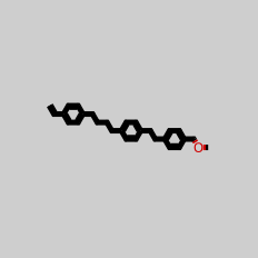 C=Cc1ccc(CCCCc2ccc(CCc3ccc(COC)cc3)cc2)cc1